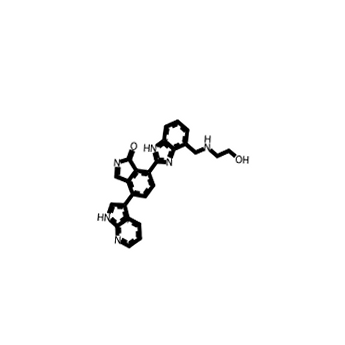 O=C1N=Cc2c(-c3c[nH]c4ncccc34)ccc(-c3nc4c(CNCCO)cccc4[nH]3)c21